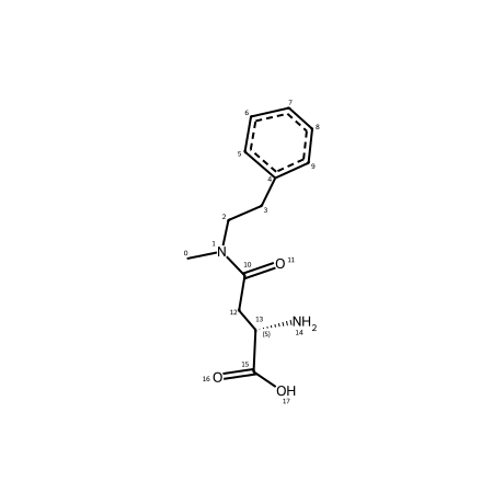 CN(CCc1ccccc1)C(=O)C[C@H](N)C(=O)O